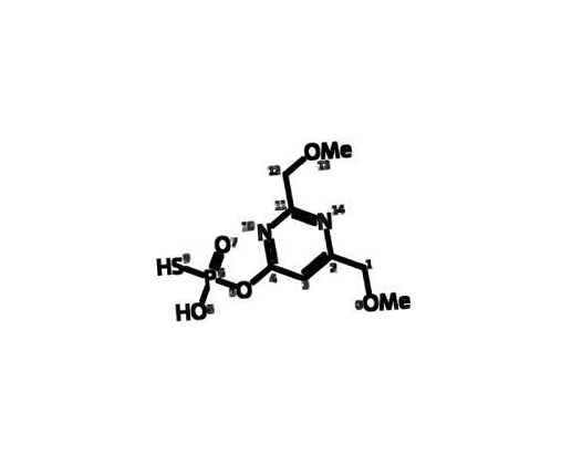 COCc1cc(OP(=O)(O)S)nc(COC)n1